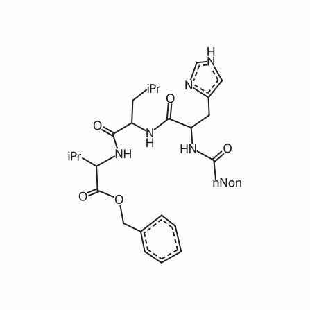 CCCCCCCCCC(=O)NC(Cc1c[nH]cn1)C(=O)NC(CC(C)C)C(=O)NC(C(=O)OCc1ccccc1)C(C)C